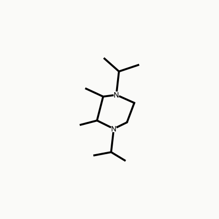 CC(C)N1CCN(C(C)C)C(C)C1C